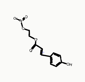 O=C(/C=C/c1ccc(O)cc1)OCCO[N+](=O)[O-]